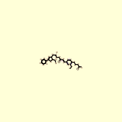 C/C=C(\C=C/C(=C/CC)CCCC(C)=O)/C=C/C(=O)CC[C@@H](C)CC1C=C(c2ccccc2)CC1CC